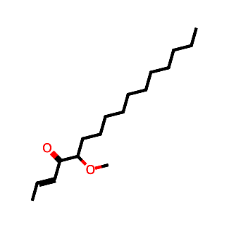 CC=CC(=O)C(CCCCCCCCCCC)OC